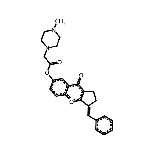 CN1CCN(CC(=O)Oc2ccc3oc4c(c(=O)c3c2)CCC4=Cc2ccccc2)CC1